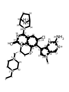 CCN1CCN(C[C@H]2CSc3c(-c4cn(C)c5cnc(N)nc45)c(Cl)cc4c(N5CC6CCC(C5)N6)nc(=O)n2c34)CC1